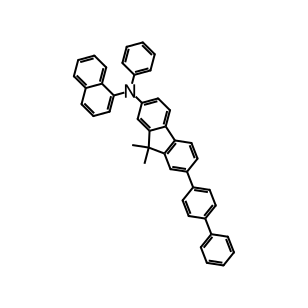 CC1(C)c2cc(-c3ccc(-c4ccccc4)cc3)ccc2-c2ccc(N(c3ccccc3)c3cccc4ccccc34)cc21